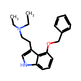 CCN(CC)CCc1c[nH]c2cccc(OCc3ccccc3)c12